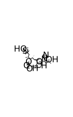 CO[C@H]1C[C@H]2C=C[C@@H]3C[C@]2(O[C@H]3C([C@H](C)[C@H](C)O)n2ccnc2)/C(C)=C/[C@@H](C)[C@@H]([C@@H](C)CC(C)(C)[Si](C)(C)O)OC1=O